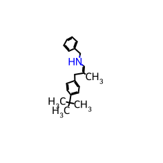 CC(=CNCc1ccccc1)Cc1ccc(C(C)(C)C)cc1